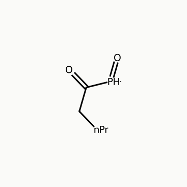 CCCCC(=O)[PH]=O